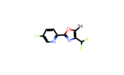 [2H]c1oc(-c2ccc(F)cn2)nc1C(F)F